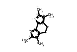 Cc1sc2c(c1C)CCc1c-2sc(C)c1C